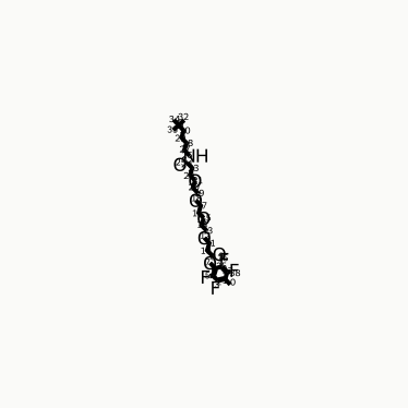 Cc1c(F)c(F)c(OC(=O)CCOCCOCCOCCOCCC(=O)NCCCCC(C)(C)C)c(F)c1F